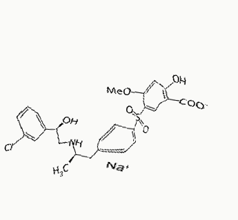 COc1cc(O)c(C(=O)[O-])cc1S(=O)(=O)c1ccc(C[C@@H](C)NC[C@H](O)c2cccc(Cl)c2)cc1.[Na+]